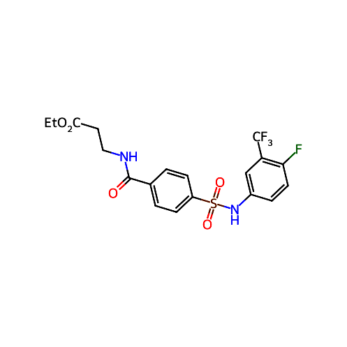 CCOC(=O)CCNC(=O)c1ccc(S(=O)(=O)Nc2ccc(F)c(C(F)(F)F)c2)cc1